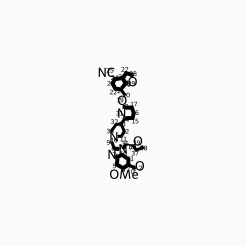 COC(=O)c1ccc2nc(CN3CCC(c4cccc(OCc5ccc(C#N)c6ccoc56)n4)CC3)n(C[C@@H]3CCO3)c2c1